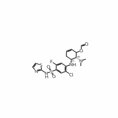 CN(C)[C@H]1C(OC=O)C=CC[C@@H]1Nc1cc(F)c(S(=O)(=O)Nc2nccs2)cc1Cl